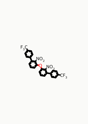 O=[N+]([O-])c1c(Oc2cccc(-c3ccc(C(F)(F)F)cc3)c2[N+](=O)[O-])cccc1-c1ccc(C(F)(F)F)cc1